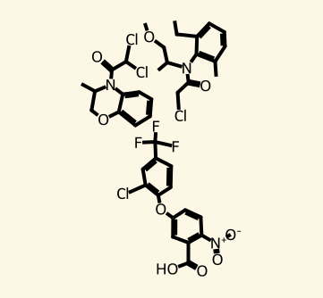 CC1COc2ccccc2N1C(=O)C(Cl)Cl.CCc1cccc(C)c1N(C(=O)CCl)C(C)COC.O=C(O)c1cc(Oc2ccc(C(F)(F)F)cc2Cl)ccc1[N+](=O)[O-]